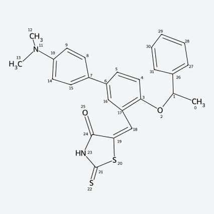 CC(Oc1ccc(-c2ccc(N(C)C)cc2)cc1/C=C1/SC(=S)NC1=O)c1ccccc1